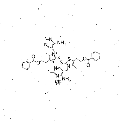 Cc1ncc(C[n+]2c(SSc3sc(CCOC(=O)c4ccccc4)c(C)[n+]3Cc3cnc(C)nc3N)sc(CCOC(=O)c3ccccc3)c2C)c(N)n1.[Cl-].[Cl-]